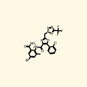 Cc1cc(Br)cc(C(N)=O)c1NC(=O)c1nc(Cn2nnc(C(F)(F)F)n2)oc1-c1ccccc1Cl